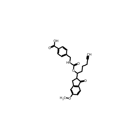 C#CCCCC(OC(=O)NCc1ccc(C(=O)O)cc1)C1Cc2cc(OC)ccc2C1=O